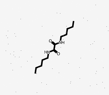 [CH2]CCCCNC(=O)C(=O)NCCCCC